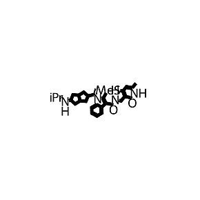 CSc1cc(C)[nH]c(=O)c1CNC(=O)c1c(C)n([C@H](C)C2CC3CC(NC(C)C)CC3C2)c2ccccc12